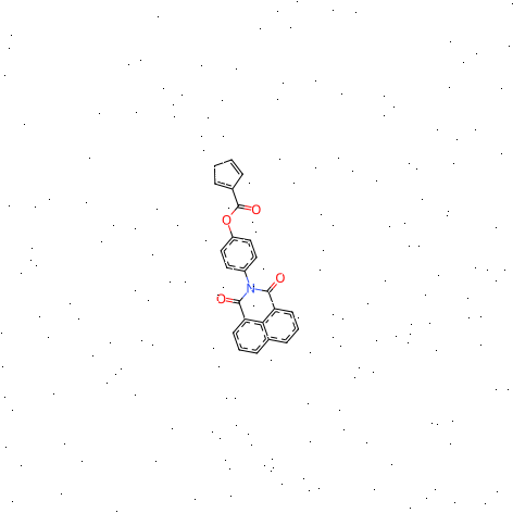 O=C(Oc1ccc(N2C(=O)c3cccc4cccc(c34)C2=O)cc1)C1=CCC=C1